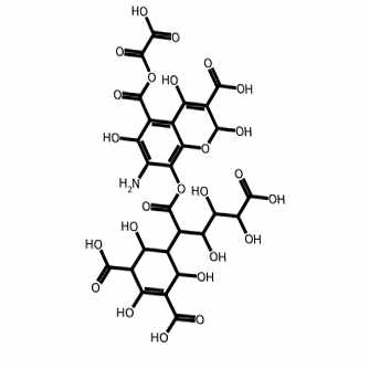 Nc1c(O)c(C(=O)OC(=O)C(=O)O)c2c(c1OC(=O)C(C(O)C(O)C(O)C(=O)O)C1C(O)C(C(=O)O)=C(O)C(C(=O)O)C1O)OC(O)C(C(=O)O)=C2O